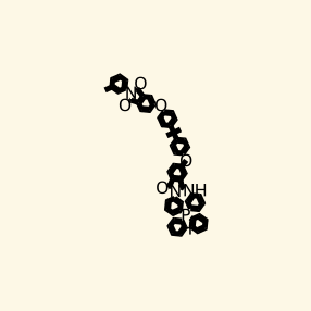 Cc1cccc(N2C(=O)c3ccc(Oc4ccc(C(C)(C)c5ccc(Oc6ccc7c(c6)C(=N)N(c6cccc([PH](c8ccccc8)(c8ccccc8)c8ccccc8)c6)C7=O)cc5)cc4)cc3C2=O)c1